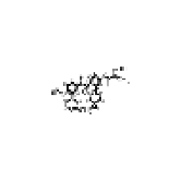 C[C@H](CO)NSc1cc(N2CCC3(CC2)CC3)c(C(=O)Nc2ccc(OCF)c(N3CCO[C@H](C)C3)c2)cn1